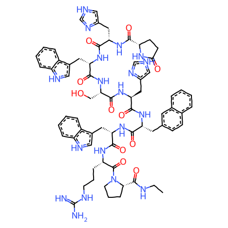 CCNC(=O)[C@@H]1CCCN1C(=O)[C@H](CCCNC(=N)N)NC(=O)[C@H](Cc1c[nH]c2ccccc12)NC(=O)[C@@H](Cc1ccc2ccccc2c1)NC(=O)[C@H](Cc1c[nH]cn1)NC(=O)[C@H](CO)NC(=O)[C@H](Cc1c[nH]c2ccccc12)NC(=O)[C@H](Cc1c[nH]cn1)NC(=O)[C@@H]1CCC(=O)N1